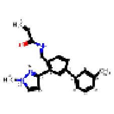 C=CC(=O)NCc1ccc(-c2cccc(C)c2)cc1-c1ccn(C)n1